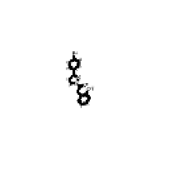 O=C(Cc1ccccc1O)N1CCC(c2ccc(F)cc2)=N1